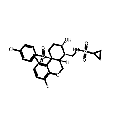 O=S(=O)(NC[C@@H]1[C@H](O)CC[C@@]2(S(=O)(=O)c3ccc(Cl)cc3)c3c(F)ccc(F)c3OC[C@@H]12)C1CC1